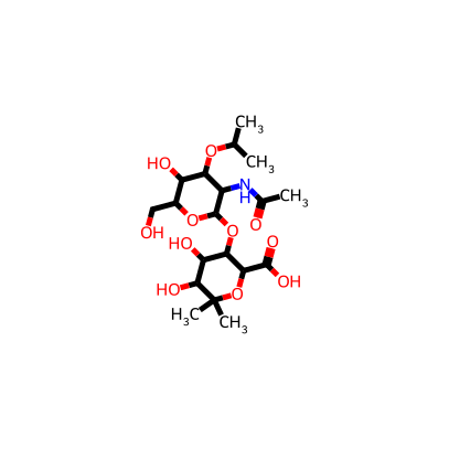 CC(=O)NC1C(OC2C(C(=O)O)OC(C)(C)C(O)C2O)OC(CO)C(O)C1OC(C)C